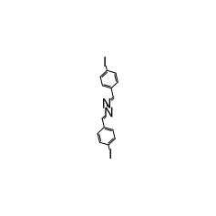 Ic1ccc(C=NN=Cc2ccc(I)cc2)cc1